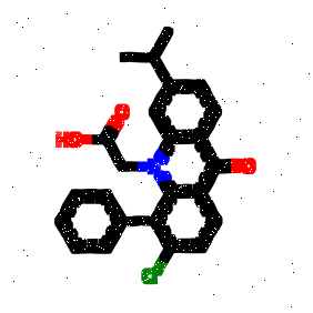 CC(C)c1ccc2c(=O)c3ccc(Cl)c(-c4ccccc4)c3n(CC(=O)O)c2c1